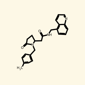 Cc1ccc(CN2C(=O)CCC2CC(=O)NCc2cccc3ncccc23)cc1